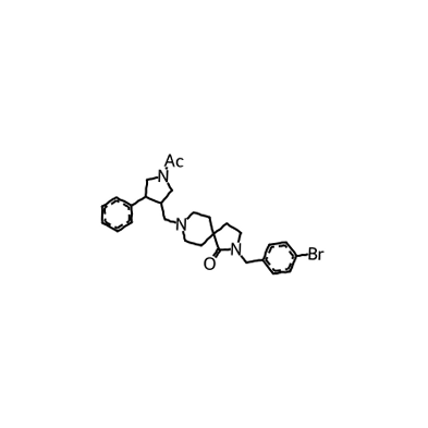 CC(=O)N1CC(CN2CCC3(CC2)CCN(Cc2ccc(Br)cc2)C3=O)C(c2ccccc2)C1